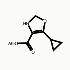 COC(=O)C1=C(C2CC2)OCN1